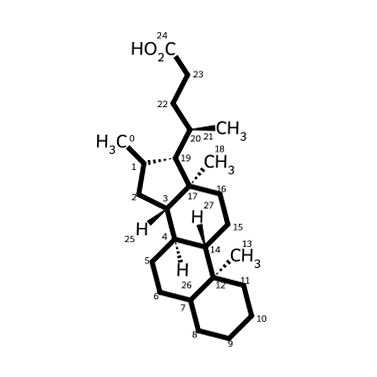 CC1C[C@H]2[C@@H]3CCC4CCCC[C@]4(C)[C@H]3CC[C@]2(C)[C@H]1[C@H](C)CCC(=O)O